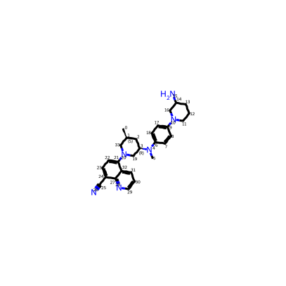 C[C@H]1C[C@@H](N(C)c2ccc(N3CCCC(N)C3)cc2)CN(c2ccc(C#N)c3ncccc23)C1